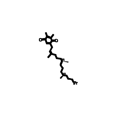 CC(=CCC1=CC(=O)C(C)=C(C)C1=O)CCC[C@H](C)CCC[C@H](C)CCCC(C)C